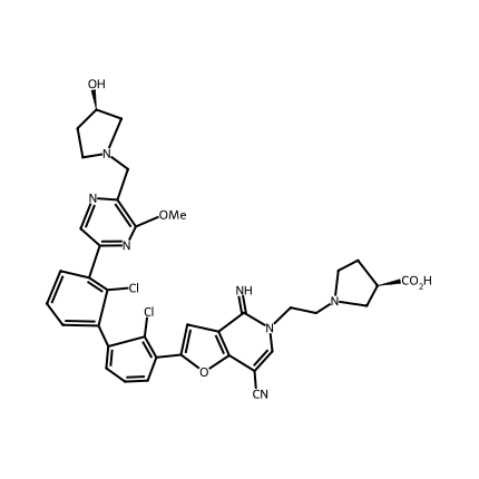 COc1nc(-c2cccc(-c3cccc(-c4cc5c(=N)n(CCN6CC[C@@H](C(=O)O)C6)cc(C#N)c5o4)c3Cl)c2Cl)cnc1CN1CC[C@@H](O)C1